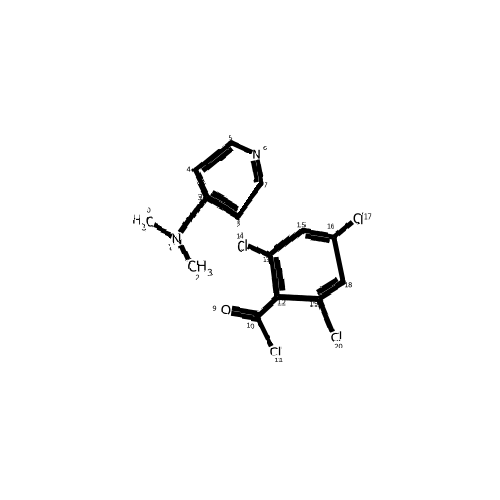 CN(C)c1ccncc1.O=C(Cl)c1c(Cl)cc(Cl)cc1Cl